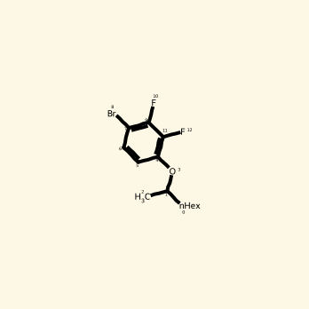 CCCCCCC(C)Oc1ccc(Br)c(F)c1F